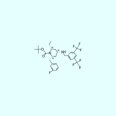 CC[C@@H]1C[C@H](NCc2cc(C(F)(F)F)cc(C(F)(F)F)c2)C[C@H](Cc2cccc(F)c2)N1C(=O)OC(C)(C)C